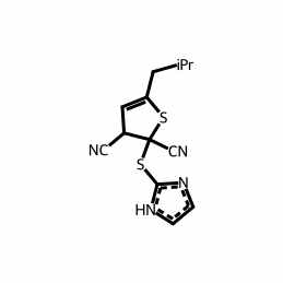 CC(C)CC1=CC(C#N)C(C#N)(Sc2ncc[nH]2)S1